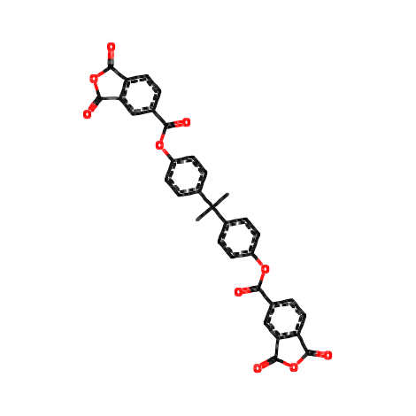 CC(C)(c1ccc(OC(=O)c2ccc3c(c2)C(=O)OC3=O)cc1)c1ccc(OC(=O)c2ccc3c(c2)C(=O)OC3=O)cc1